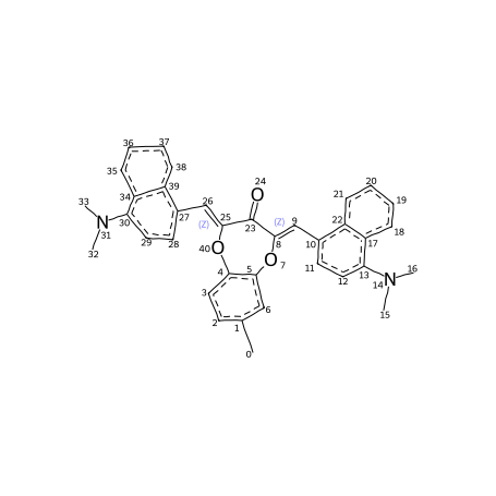 Cc1ccc2c(c1)O/C(=C\c1ccc(N(C)C)c3ccccc13)C(=O)/C(=C/c1ccc(N(C)C)c3ccccc13)O2